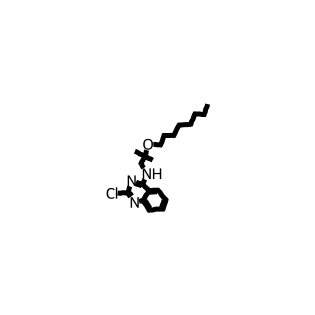 CCCCCCCCOC(C)(C)CNc1nc(Cl)nc2ccccc12